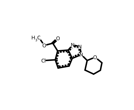 COC(=O)c1c(Cl)ccc2c1nnn2C1CCCCO1